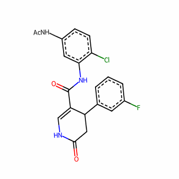 CC(=O)Nc1ccc(Cl)c(NC(=O)C2=CNC(=O)CC2c2cccc(F)c2)c1